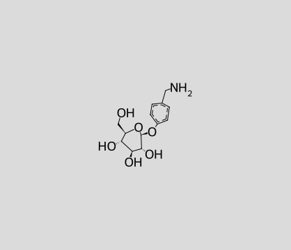 NCc1ccc(O[C@@H]2O[C@H](CO)[C@@H](O)[C@H](O)[C@H]2O)cc1